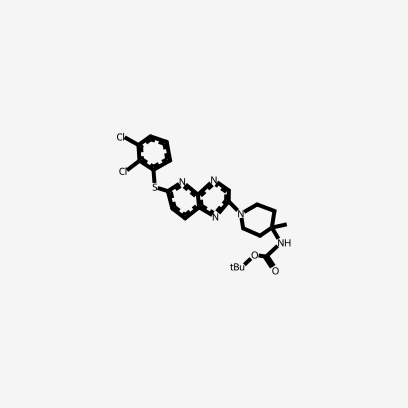 CC1(NC(=O)OC(C)(C)C)CCN(c2cnc3nc(Sc4cccc(Cl)c4Cl)ccc3n2)CC1